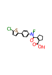 O=C(O)C1=C(C(=O)N(F)c2ccc(-c3ccc(Cl)s3)cc2)CCC1